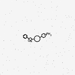 PN1CCC(C2CCCCC(C3=NOC(c4ccccc4)C3)CCC2)CC1